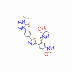 CC(=O)Nc1ccc(-c2cnc(-c3ccc(NC(=S)NC(C)C)cc3)s2)c(SNC(CO)C(C)C)c1